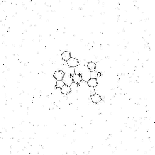 c1ccc(-c2cc(-c3nc(-c4ccc5ccccc5c4)nc(-c4cccc5sc6ccccc6c45)n3)c3c(c2)oc2ccccc23)cc1